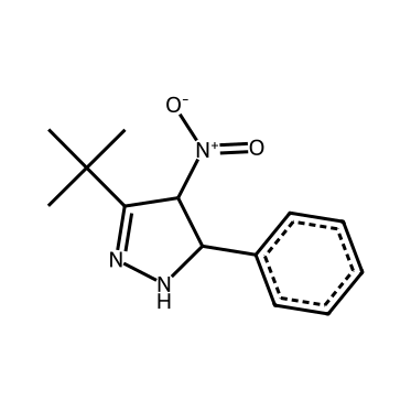 CC(C)(C)C1=NNC(c2ccccc2)C1[N+](=O)[O-]